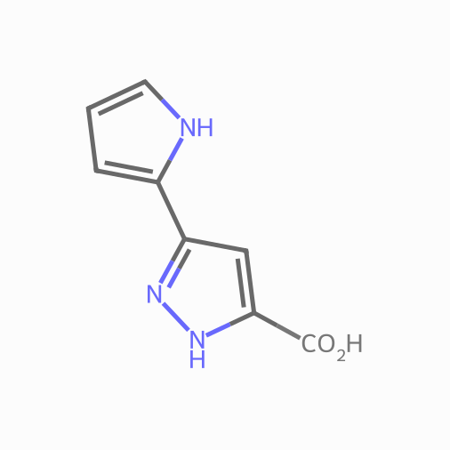 O=C(O)c1cc(-c2ccc[nH]2)n[nH]1